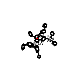 N#Cc1c(-c2ccc(-c3nc(-c4ccccc4)nc(-c4ccccc4)n3)cc2-n2c3ccc(-c4ccccc4)cc3c3cc(-c4ccccc4)ccc32)cccc1-n1c2ccc(-c3ccccc3)cc2c2cc(-c3ccccc3)ccc21